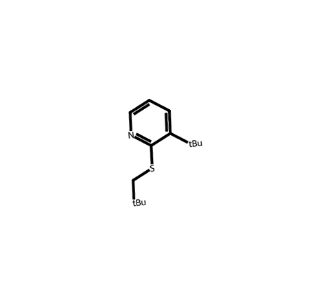 CC(C)(C)CSc1ncccc1C(C)(C)C